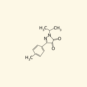 Cc1ccc(C2=NN(C(C)C)C(=O)C2=O)cc1